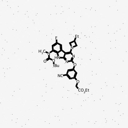 CCOC(=O)COc1cc(C#N)cc(Oc2nc(N3CC(CC)C3)c3c(n2)[nH]c2c(N(C)C(=O)OC(C)(C)C)cc(F)cc23)c1